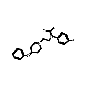 CC(=O)N(CCN1CCC(Oc2ccccc2)CC1)c1ccc(F)cc1